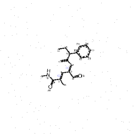 C=C(/C=C(C=O)\C=C(/C)C(=O)NC)C(CC)c1ccccc1